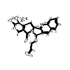 CC[C@@]1(O)C(=O)OCc2c1cc1n(c2=O)C(OCCCl)c2cc3ccccc3nc2-1